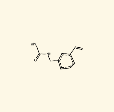 C=Cc1cccc(CNC(=O)CCC)c1